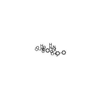 COc1ccc(S(=O)(=O)NCC2CCCO2)cc1Nc1ncc(-c2cccc(-c3ccccc3)c2)o1